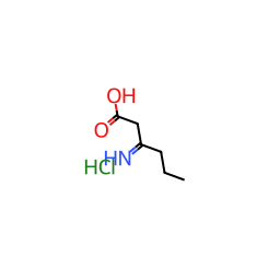 CCCC(=N)CC(=O)O.Cl